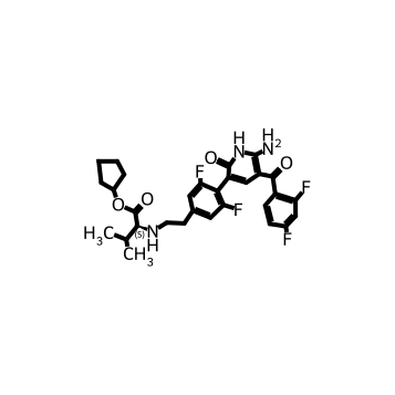 CC(C)[C@H](NCCc1cc(F)c(-c2cc(C(=O)c3ccc(F)cc3F)c(N)[nH]c2=O)c(F)c1)C(=O)OC1CCCC1